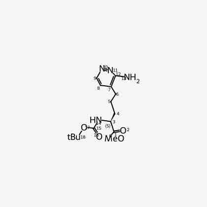 COC(=O)[C@H](CCCc1ccnnc1N)NC(=O)OC(C)(C)C